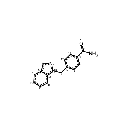 NC(=O)c1ccc(Cn2ncc3c[c]ccc32)cc1